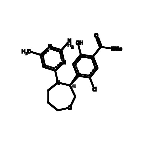 CNC(=O)c1cc(Cl)c([C@H]2COCCCN2c2cc(C)nc(N)n2)cc1O